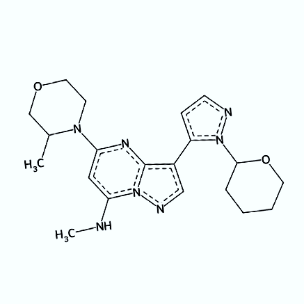 CNc1cc(N2CCOCC2C)nc2c(-c3ccnn3C3CCCCO3)cnn12